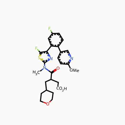 COc1ccc(-c2ccc(F)cc2-c2nc(N(C)C(=O)C(CC(=O)O)CC3CCOCC3)sc2F)cn1